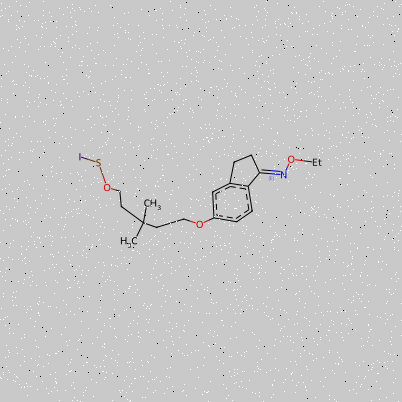 CCO/N=C1\CCc2cc(OCCC(C)(C)CCOSI)ccc21